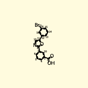 O=C(O)c1cccc(-c2ncc(-c3cccc(Br)c3)o2)c1